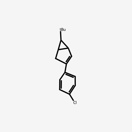 CC(C)(C)C1C2C=C(c3ccc(Cl)cc3)CC21